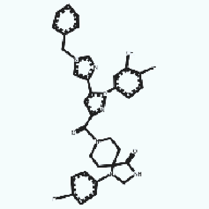 O=C(c1cc(-c2cn(Cc3ccccc3)cn2)n(-c2ccc(F)c(C(F)(F)F)c2)n1)N1CCC2(CC1)C(=O)NCN2c1ccc(F)cc1